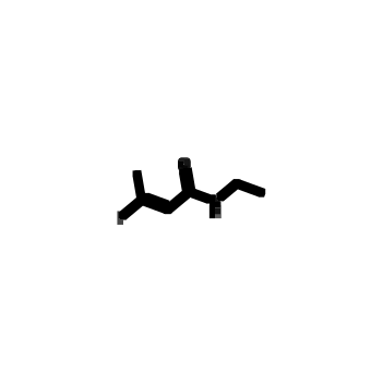 CCNC(=O)/C=C(\C)I